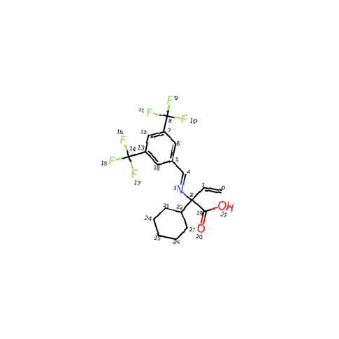 C=CC(N=Cc1cc(C(F)(F)F)cc(C(F)(F)F)c1)(C(=O)O)C1CCCCC1